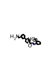 C[Si](C)(O)c1ccccc1/C=C/C(=O)N1CCC(c2cccc(CN)c2)CC1